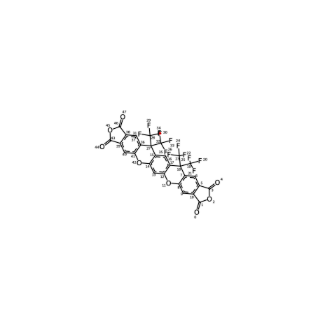 O=C1OC(=O)c2cc3c(cc21)Oc1cc2c(cc1C3(C(F)(F)F)C(F)(F)F)C(C(F)(F)F)(C(F)(F)F)c1cc3c(cc1O2)C(=O)OC3=O